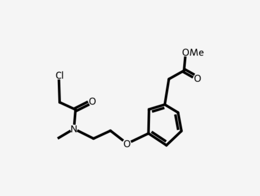 COC(=O)Cc1cccc(OCCN(C)C(=O)CCl)c1